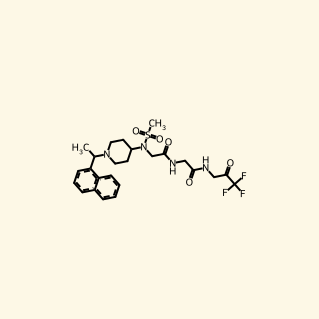 CC(c1cccc2ccccc12)N1CCC(N(CC(=O)NCC(=O)NCC(=O)C(F)(F)F)S(C)(=O)=O)CC1